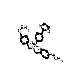 COc1ccc(CN(Cc2ccc(OC)cc2)S(=O)(=O)c2ccc(-c3ncco3)cc2)cc1